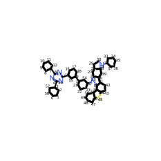 c1ccc(-c2nc(-c3ccccc3)nc(-c3cccc(-c4cccc(-n5c6cc7ccn(-c8ccccc8)c7cc6c6ccc7sc8ccccc8c7c65)c4)c3)n2)cc1